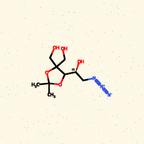 CC1(C)OC([C@H](O)CN=[N+]=[N-])C(CO)(CO)O1